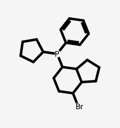 BrC1CCC(P(c2ccccc2)C2CCCC2)C2CCCC12